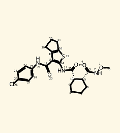 CONC(=O)[C@@H]1CCCC[C@@H]1C(=O)Nc1sc2c(c1C(=O)Nc1ccc(Cl)cc1)CCC2